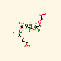 OCCOCC(F)(F)OC(F)(F)OC(F)(F)C(F)(F)OC(F)(F)COCCO